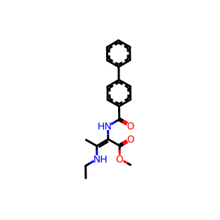 CCN/C(C)=C(/NC(=O)c1ccc(-c2ccccc2)cc1)C(=O)OC